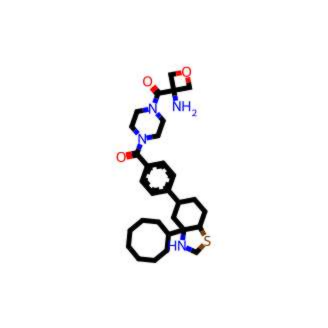 NC1(C(=O)N2CCN(C(=O)c3ccc(C4CCC5SCNC5(C5CCCCCCC5)C4)cc3)CC2)COC1